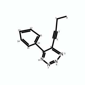 CCC#Cc1nnnnc1-c1ccccc1